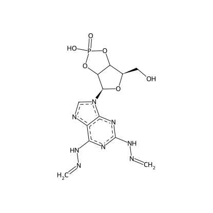 C=NNc1nc(NN=C)c2ncn([C@@H]3O[C@H](CO)C4OP(=O)(O)OC43)c2n1